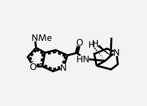 CNc1coc2cnc(C(=O)N[C@@H]3C4CCN(CC4)[C@H]3C)cc12